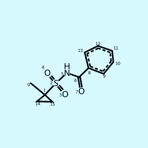 CC1(S(=O)(=O)NC(=O)c2ccccc2)CC1